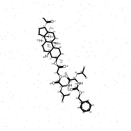 CC(=O)[C@H]1CC[C@H]2[C@@H]3CC[C@H]4C[C@](C)(OC(=O)COC(=O)[C@H](CC(C)C)NC(=O)[C@H](CC(C)C)NC(=O)OCc5ccccc5)CC[C@]4(C)[C@H]3CC[C@]12C